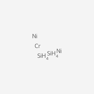 [Cr].[Ni].[Ni].[SiH4].[SiH4]